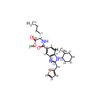 CCCC[C@H](NC(=O)c1ccc2c(c1)nc(Cc1cccs1)n2C1CCCCC1C)C(=O)OF